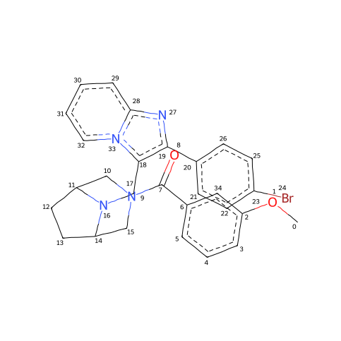 COc1cccc(C(=O)N2CC3CCC(C2)N3Cc2c(-c3ccc(Br)cc3)nc3ccccn23)c1